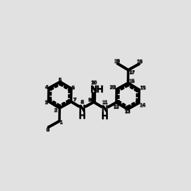 CCc1ccccc1NC(=N)Nc1cccc(C(C)C)c1